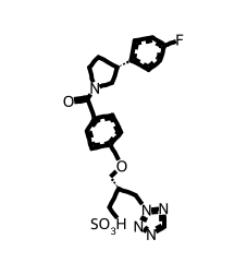 O=C(c1ccc(OC[C@H](Cn2ncnn2)CS(=O)(=O)O)cc1)N1CC[C@H](c2ccc(F)cc2)C1